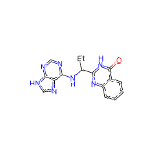 CCC(Nc1ncnc2[nH]cnc12)c1nc2ccccc2c(=O)[nH]1